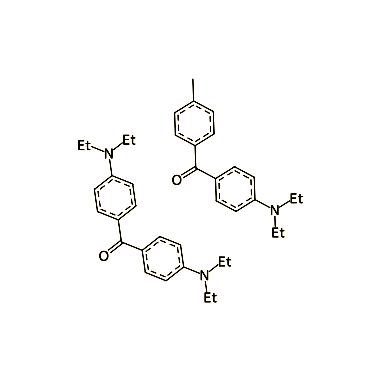 CCN(CC)c1ccc(C(=O)c2ccc(C)cc2)cc1.CCN(CC)c1ccc(C(=O)c2ccc(N(CC)CC)cc2)cc1